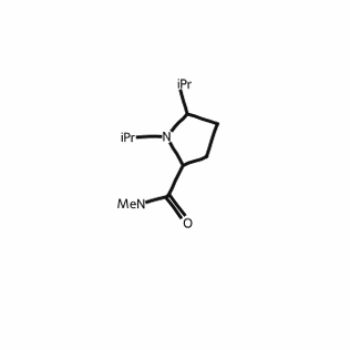 CNC(=O)C1CCC(C(C)C)N1C(C)C